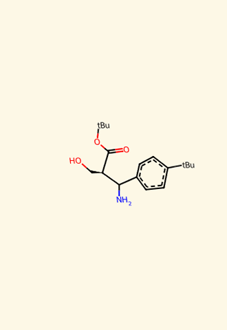 CC(C)(C)OC(=O)[C@H](CO)C(N)c1ccc(C(C)(C)C)cc1